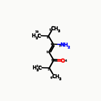 CC(C)C(=O)/C=C(\N)C(C)C